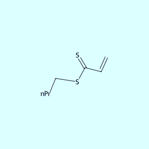 C=CC(=S)SCCCC